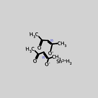 CC(=O)/C=C(/C)[O-].CC(=O)/C=C(/C)[O-].[SnH2+2]